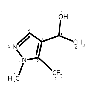 CC(O)c1cnn(C)c1C(F)(F)F